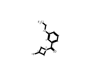 O=C(c1cccc(OCC(F)(F)F)c1)N1CC(F)C1